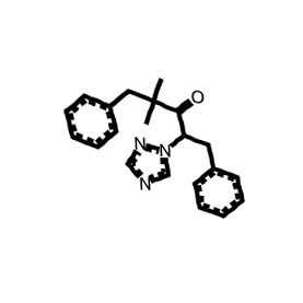 CC(C)(Cc1ccccc1)C(=O)C(Cc1ccccc1)n1cncn1